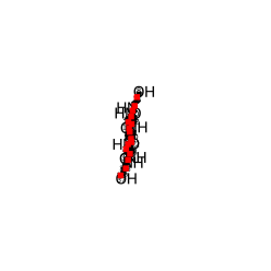 O=C(NCCCCCO)Nc1ccc(NC(=O)c2ccc(C(=O)Nc3ccc(NC(=O)NCCCCCO)cc3)cc2)cc1